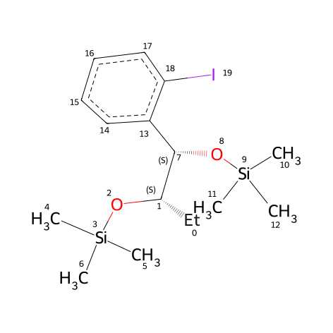 CC[C@H](O[Si](C)(C)C)[C@@H](O[Si](C)(C)C)c1ccccc1I